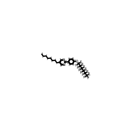 CCCCCCCCc1cnc(-c2ccc(OC(F)(F)C(F)(F)C(F)(F)C(F)(F)C(F)(F)C(F)(F)F)cc2)nc1